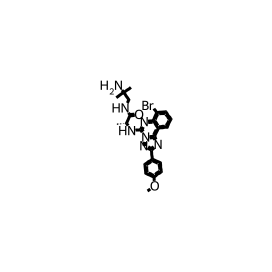 COc1ccc(-c2nc3c4cccc(Br)c4nc(N[C@H](C)C(=O)NCC(C)(C)N)n3n2)cc1